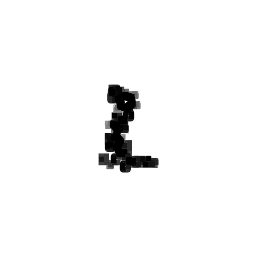 COC(=O)NC(C)c1cc(-c2cnc(Oc3cccc(OC(C)C)c3)s2)no1